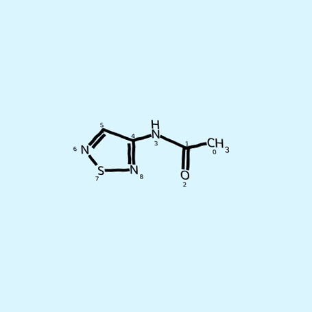 CC(=O)Nc1[c]nsn1